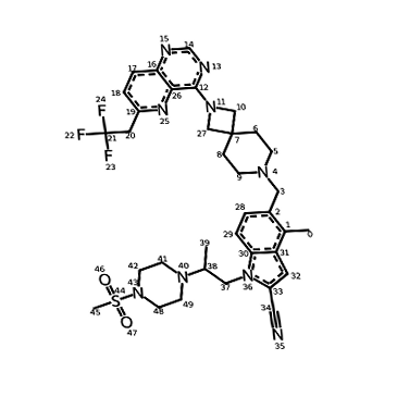 Cc1c(CN2CCC3(CC2)CN(c2ncnc4ccc(CC(F)(F)F)nc24)C3)ccc2c1cc(C#N)n2CC(C)N1CCN(S(C)(=O)=O)CC1